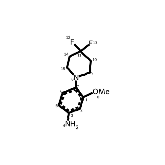 COc1cc(N)ccc1N1CCC(F)(F)CC1